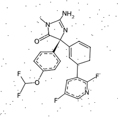 CN1C(=O)[C@](C2=CC(c3cc(F)cnc3F)CC=C2)(c2ccc(OC(F)F)cc2)N=C1N